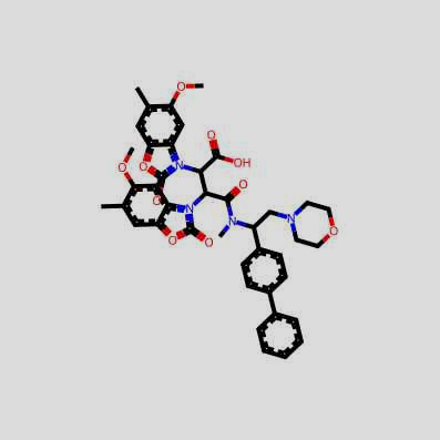 COc1cc2c(cc1C)oc(=O)n2C(C(=O)O)C(C(=O)N(C)C(CN1CCOCC1)c1ccc(-c2ccccc2)cc1)n1c(=O)oc2cc(C)c(OC)cc21